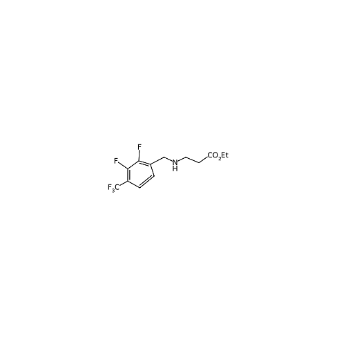 CCOC(=O)CCNCc1ccc(C(F)(F)F)c(F)c1F